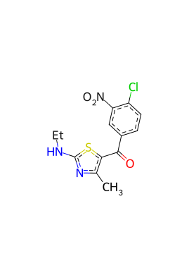 CCNc1nc(C)c(C(=O)c2ccc(Cl)c([N+](=O)[O-])c2)s1